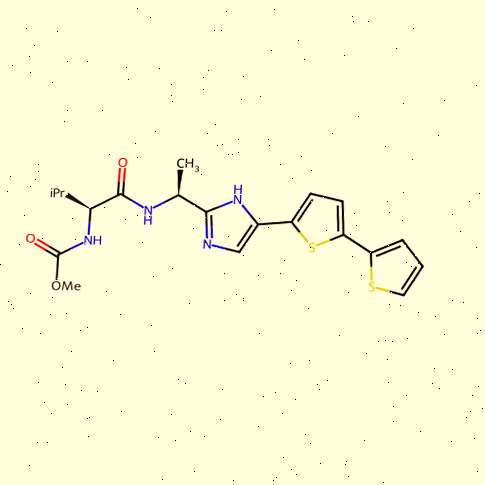 COC(=O)N[C@H](C(=O)N[C@@H](C)c1ncc(-c2ccc(-c3cccs3)s2)[nH]1)C(C)C